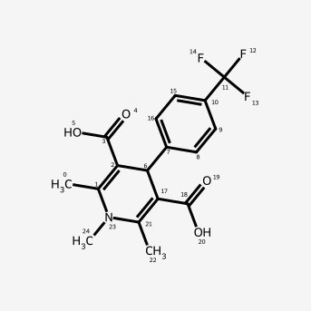 CC1=C(C(=O)O)C(c2ccc(C(F)(F)F)cc2)C(C(=O)O)=C(C)N1C